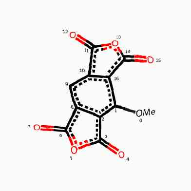 COc1c2c(=O)oc(=O)c2cc2c(=O)oc(=O)c12